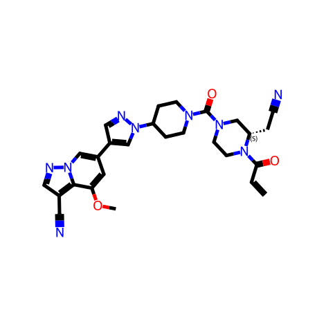 C=CC(=O)N1CCN(C(=O)N2CCC(n3cc(-c4cc(OC)c5c(C#N)cnn5c4)cn3)CC2)C[C@@H]1CC#N